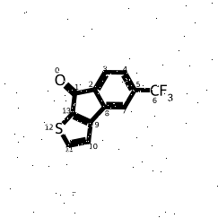 O=C1c2ccc(C(F)(F)F)cc2-c2ccsc21